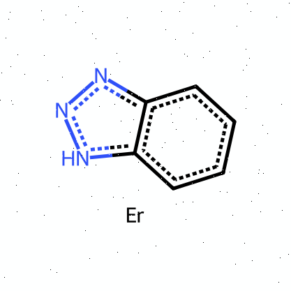 [Er].c1ccc2[nH]nnc2c1